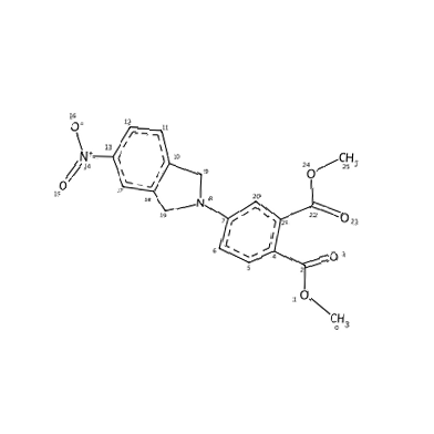 COC(=O)c1ccc(N2Cc3ccc([N+](=O)[O-])cc3C2)cc1C(=O)OC